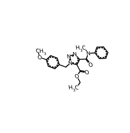 CCOC(=O)c1c(C(=O)N(C)c2ccccc2)nnn1Cc1ccc(OC)cc1